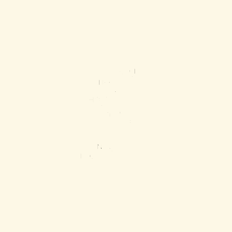 CN(C)c1ccccc1.O=C(O)CC(O)(CC(=O)OCc1ccccc1)C(=O)O